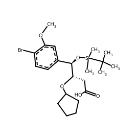 COc1cc([C@@H](O[Si](C)(C)C(C)(C)C)[C@H](CC(=O)O)OC2CCCC2)ccc1Br